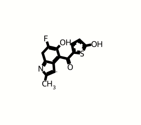 CC1=[C]C2=C(C(=O)c3ccc(O)s3)C(O)=C(F)CC2=N1